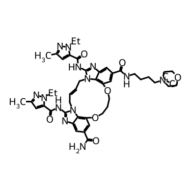 CCn1nc(C)cc1C(=O)Nc1nc2cc(C(N)=O)cc3c2n1C/C=C/Cn1c(NC(=O)c2cc(C)nn2CC)nc2cc(C(=O)NCCCCN4CC5CCCC4CO5)cc(c21)OCCCO3